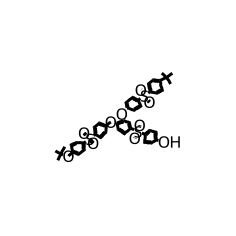 CC(C)(C)Oc1ccc(S(=O)(=O)c2ccc(Oc3ccc(S(=O)(=O)c4ccc(O)cc4)cc3Oc3ccc(S(=O)(=O)c4ccc(C(C)(C)C)cc4)cc3)cc2)cc1